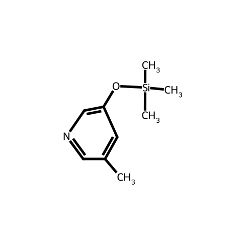 Cc1cncc(O[Si](C)(C)C)c1